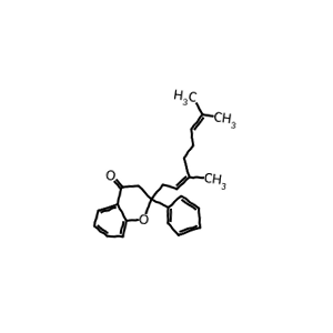 CC(C)=CCCC(C)=CCC1(c2ccccc2)CC(=O)c2ccccc2O1